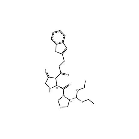 CCOC(OCC)[C@@H]1CSCN1C(=O)[C@H]1NCC(=S)C1C(=O)CCC1=Cc2ccccc2C1